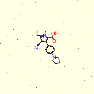 CCc1c(C#N)c(-c2ccc(N3CCCC3)cc2)c(C(=O)O)n1C